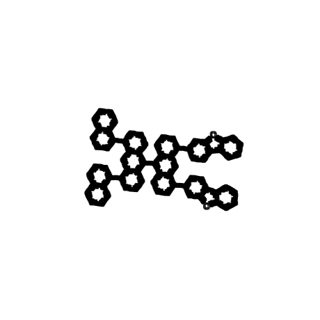 c1ccc2c(-c3cccc4c(-c5c6cccc(-c7ccc8c(c7)oc7ccccc78)c6cc6c(-c7ccc8c(c7)oc7ccccc78)cccc56)c5cccc(-c6cccc7ccccc67)c5cc34)cccc2c1